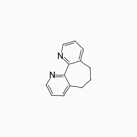 c1cnc2c(c1)CCCc1cccnc1-2